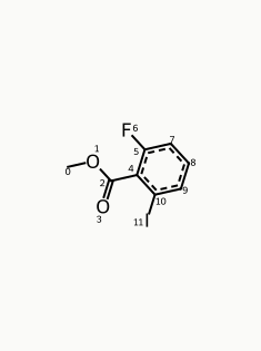 COC(=O)c1c(F)cccc1I